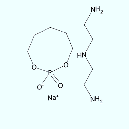 NCCNCCN.O=P1([O-])OCCCCCO1.[Na+]